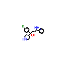 NC(CCC(O)(c1ccc(F)cc1)C1CCNCC1)c1ccccc1